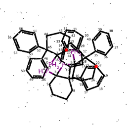 PC1(P(C2(P)CCCCC2(c2ccccc2)c2ccccc2)C2(P)CCCCC2(c2ccccc2)c2ccccc2)CCCCC1(c1ccccc1)c1ccccc1